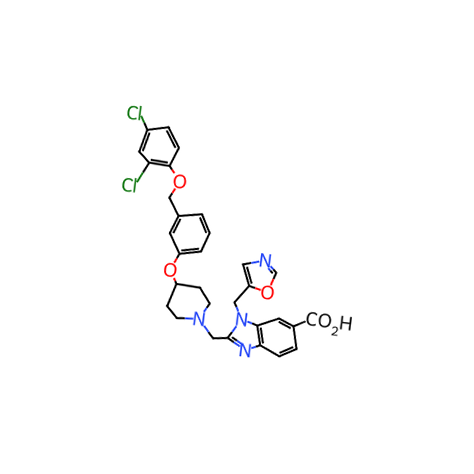 O=C(O)c1ccc2nc(CN3CCC(Oc4cccc(COc5ccc(Cl)cc5Cl)c4)CC3)n(Cc3cnco3)c2c1